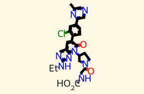 CCNc1ncc2cc(-c3ccc(-c4cncc(C)n4)cc3Cl)c(=O)n(C3CCN(C(=O)CNC(=O)O)C3)c2n1